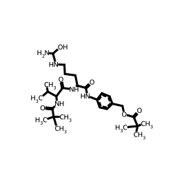 CC(C)C(NC(=O)C(C)(C)C)C(=O)NC(CCCNC(N)O)C(=O)Nc1ccc(COC(=O)C(C)(C)C)cc1